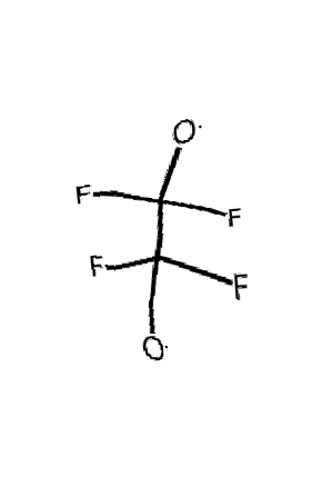 [O]C(F)(F)C([O])(F)F